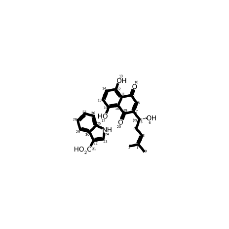 CC(C)=CC[C@@H](O)C1=CC(=O)c2c(O)ccc(O)c2C1=O.O=C(O)c1c[nH]c2ccccc12